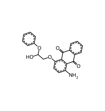 Nc1ccc(OCC(O)Oc2ccccc2)c2c1C(=O)c1ccccc1C2=O